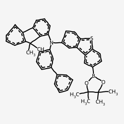 CC1(C)c2ccccc2-c2cccc(N(c3cccc(-c4ccccc4)c3)c3ccc4sc5ccc(B6OC(C)(C)C(C)(C)O6)cc5c4c3)c21